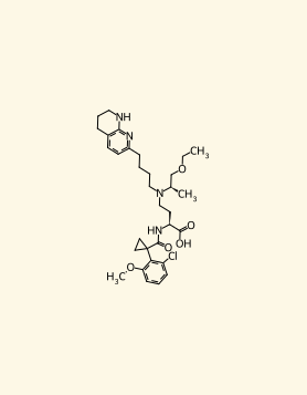 CCOC[C@@H](C)N(CCCCc1ccc2c(n1)NCCC2)CC[C@H](NC(=O)C1(c2c(Cl)cccc2OC)CC1)C(=O)O